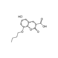 CCCCOc1cccc2cc(C(=O)O)c(=O)oc12.Cl